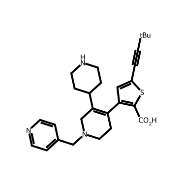 CC(C)(C)C#Cc1cc(C2=C(C3CCNCC3)CN(Cc3ccncc3)CC2)c(C(=O)O)s1